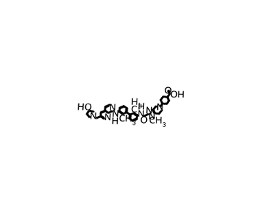 Cc1c(NC(=O)c2nc3c(n2C)CCN(C2CCC(C(=O)O)CC2)C3)cccc1-c1cccc(Nc2nccc3cc(CN4CCC(O)C4)cnc23)c1C